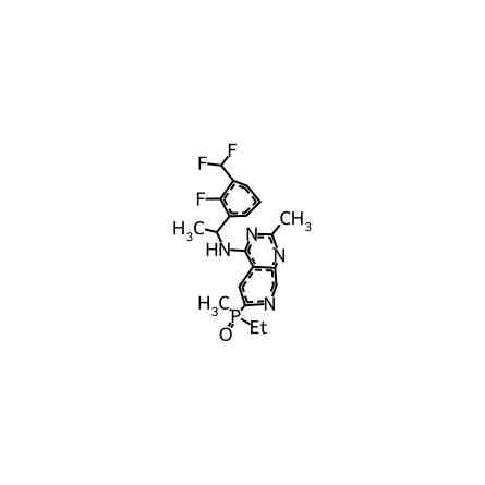 CCP(C)(=O)c1cc2c(NC(C)c3cccc(C(F)F)c3F)nc(C)nc2cn1